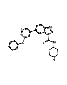 O=C(NC1CCNCC1)c1n[nH]c2ccc(-c3cncc(Oc4ccccc4)c3)cc12